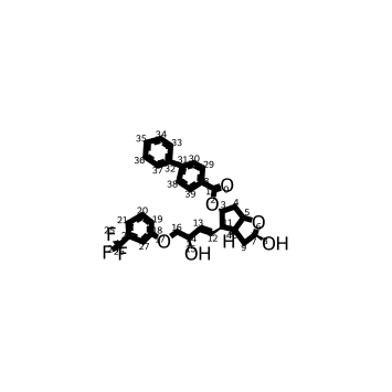 O=C(O[C@@H]1CC2O[C@@H](O)C[C@@H]2[C@H]1/C=C/[C@@H](O)COc1cccc(C(F)(F)F)c1)c1ccc(-c2ccccc2)cc1